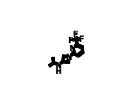 CC(C)NC1CN(c2cccc(C(F)(F)F)n2)C1